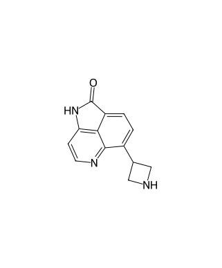 O=C1Nc2ccnc3c(C4CNC4)ccc1c23